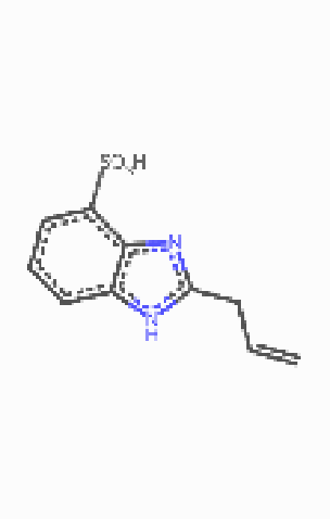 C=CCc1nc2c(S(=O)(=O)O)cccc2[nH]1